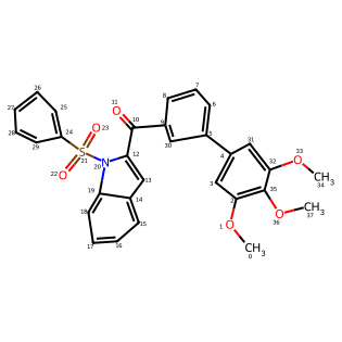 COc1cc(-c2cccc(C(=O)c3cc4ccccc4n3S(=O)(=O)c3ccccc3)c2)cc(OC)c1OC